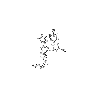 N#Cc1cccc(-c2ccc(=O)n(Cc3cccc(-c4ncc(OCC5CC5CN)cn4)c3)n2)c1